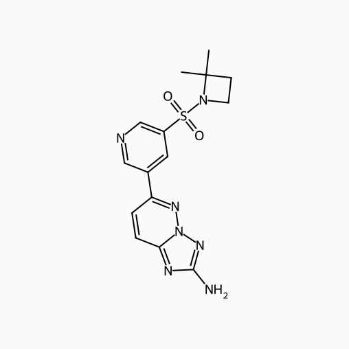 CC1(C)CCN1S(=O)(=O)c1cncc(-c2ccc3nc(N)nn3n2)c1